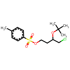 Cc1ccc(S(=O)(=O)OCCC(CCl)OC(C)(C)C)cc1